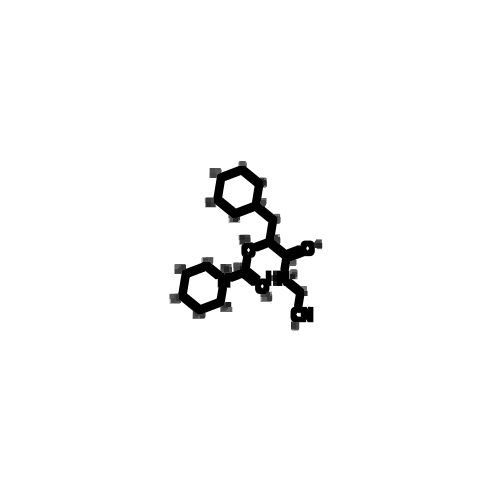 N#CCNC(=O)C(CC1CCCCC1)OC(=O)N1CCCCC1